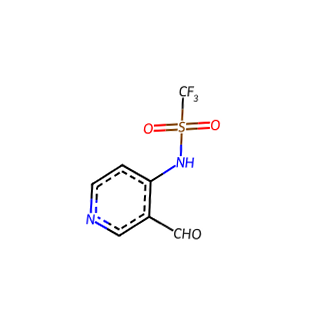 O=Cc1cnccc1NS(=O)(=O)C(F)(F)F